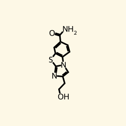 NC(=O)c1ccc2c(c1)sc1nc(CCO)cn12